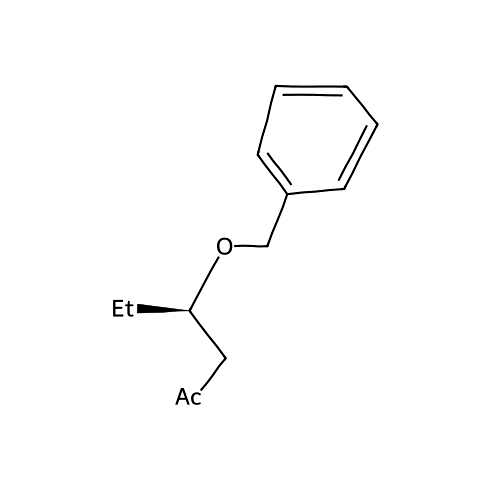 CC[C@H](CC(C)=O)OCc1ccccc1